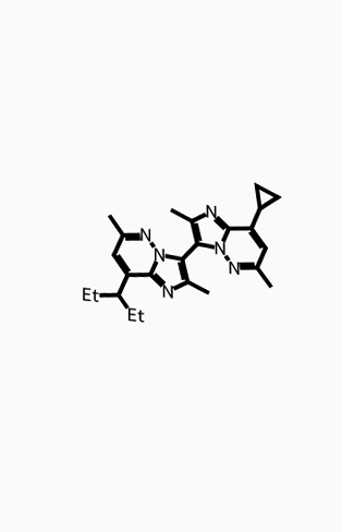 CCC(CC)c1cc(C)nn2c(-c3c(C)nc4c(C5CC5)cc(C)nn34)c(C)nc12